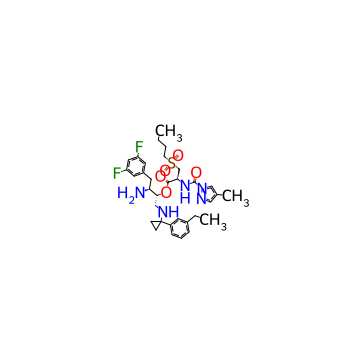 CCCCS(=O)(=O)C[C@@H](NC(=O)n1cc(C)cn1)C(=O)O[C@H](CNC1(c2cccc(CC)c2)CC1)[C@@H](N)Cc1cc(F)cc(F)c1